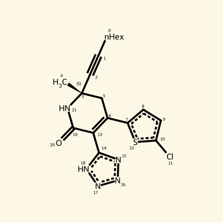 CCCCCCC#C[C@]1(C)CC(c2ccc(Cl)s2)=C(c2nnn[nH]2)C(=O)N1